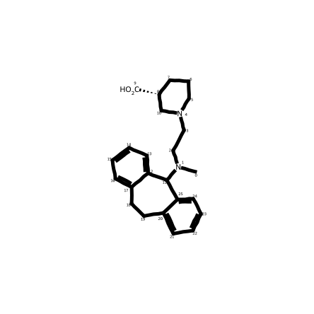 CN(CCN1CCC[C@@H](C(=O)O)C1)C1c2ccccc2CCc2ccccc21